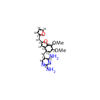 COc1cc(Cc2cnc(N)nc2N)c2cc(Cc3ccco3)oc2c1OC